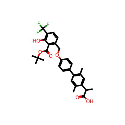 Cc1cc(C(C)C(=O)O)c(C)cc1-c1ccc(OCc2ccc(C(F)(F)F)c(O)c2C(=O)OC(C)(C)C)cc1